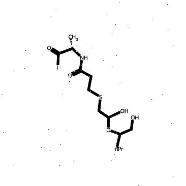 CCCC(CO)OC(O)CSCCC(=O)N[C@@H](C)C(=O)I